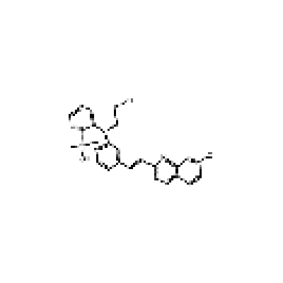 CC(C)(O)c1ccccc1[C@@H](CCO)c1cccc(/C=C/c2ccc3ccc(Cl)cc3n2)c1